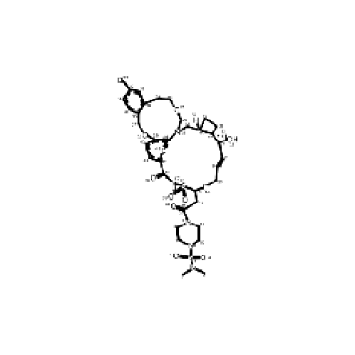 CN(C)S(=O)(=O)N1CCN(C(=O)CC2CC/C=C/[C@H](O)[C@@H]3CC[C@H]3CN3CCCCc4cc(Cl)ccc4COc4ccc(cc43)C(=O)NS2(=O)=O)CC1